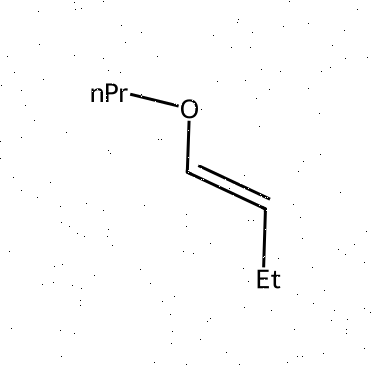 [CH2]CCOC=CCC